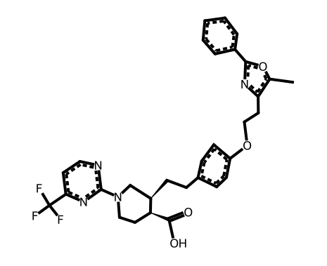 Cc1oc(-c2ccccc2)nc1CCOc1ccc(CC[C@@H]2CN(c3nccc(C(F)(F)F)n3)CC[C@@H]2C(=O)O)cc1